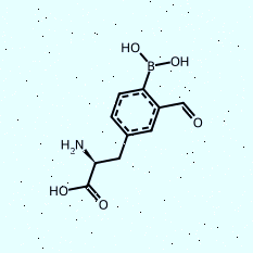 N[C@@H](Cc1ccc(B(O)O)c(C=O)c1)C(=O)O